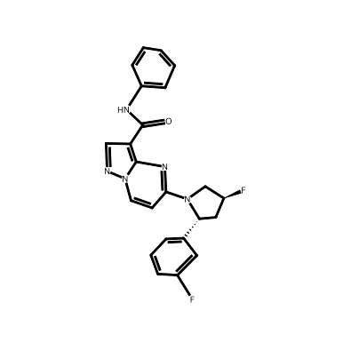 O=C(Nc1ccccc1)c1cnn2ccc(N3C[C@@H](F)C[C@@H]3c3cccc(F)c3)nc12